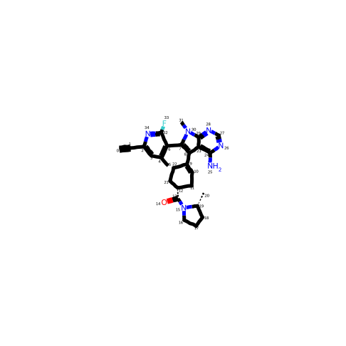 C#Cc1cc(C)c(-c2c(C3=CC[C@H](C(=O)N4CCC[C@H]4C)CC3)c3c(N)ncnc3n2C)c(F)n1